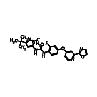 Cn1nc(C(C)(C)C)cc1NC(=O)Nc1ccc(Oc2ccnc(-c3ncco3)c2)cc1F